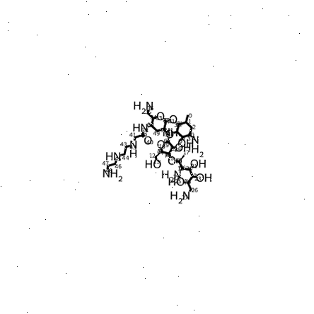 CC1C[C@@H](N)C(O)C(O[C@@H]2O[C@H](CO)[C@H](O[C@@H](C)[C@H](N)C(O)C(O)[C@@H](O)CN)[C@@H]2O)[C@@H]1O[C@H]1OC(CN)[C@@H](NC(=O)CNCCNCCN)CC1N